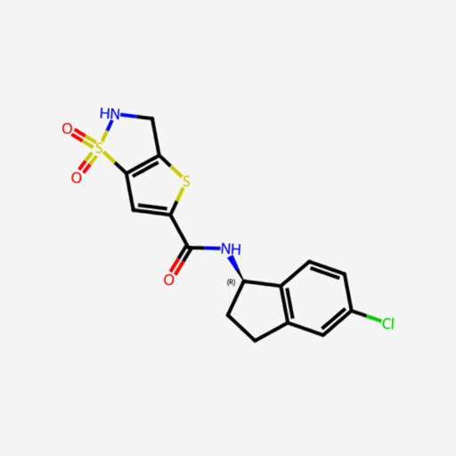 O=C(N[C@@H]1CCc2cc(Cl)ccc21)c1cc2c(s1)CNS2(=O)=O